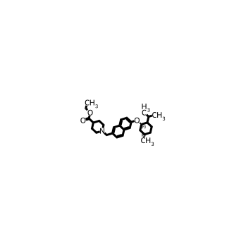 CCOC(=O)C1CCN(Cc2ccc3cc(O[C@@H]4C[C@H](C)CCC4C(C)C)ccc3c2)CC1